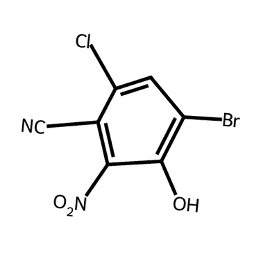 N#Cc1c(Cl)cc(Br)c(O)c1[N+](=O)[O-]